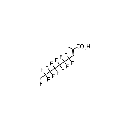 CC(=CC(F)(F)C(F)(F)C(F)(F)C(F)(F)C(F)(F)C(F)(F)CF)C(=O)O